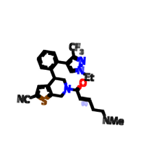 CCn1cc(-c2ccccc2C2CN(C(=O)/C=C/CCNC)Cc3sc(C#N)cc32)c(C(F)(F)F)n1